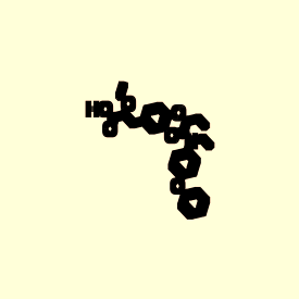 CCOC(Cc1ccc(OC(CC)C(=O)N(CC)c2ccc(Oc3ccccc3)cc2)cc1)C(=O)O